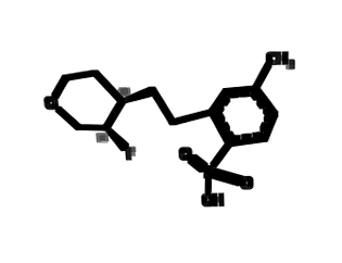 Cc1ccc(S(=O)(=O)O)c(CC[C@@H]2CCOC[C@@H]2F)c1